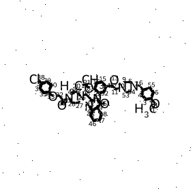 COc1ccc(CN2CCN(CC(=O)c3ccc(OC(C)C)c(-n4c(CN5CCN(C(=O)COc6ccc(Cl)cc6)CC5)nc5ccccc5c4=O)c3)CC2)cc1